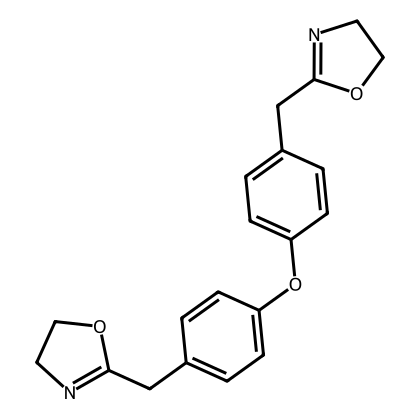 c1cc(Oc2ccc(CC3=NCCO3)cc2)ccc1CC1=NCCO1